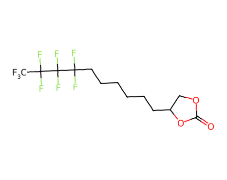 O=C1OCC(CCCCCCC(F)(F)C(F)(F)C(F)(F)C(F)(F)F)O1